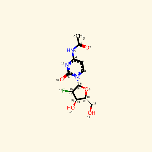 CC(=O)Nc1ccn([C@@H]2O[C@H](CO)[C@@H](O)[C@H]2F)c(=O)n1